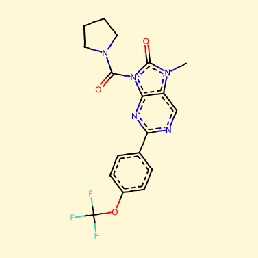 Cn1c(=O)n(C(=O)N2CCCC2)c2nc(-c3ccc(OC(F)(F)F)cc3)ncc21